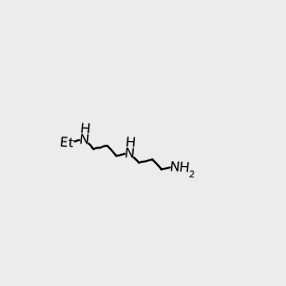 CCNCCCNCCCN